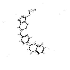 CCOC(=O)Oc1nnc2n1CCN(Cc1ccc([C@H]3COc4cccnc4O3)cc1)C2